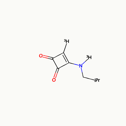 [3H]c1c(N([3H])CC(C)C)c(=O)c1=O